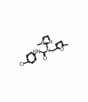 Cc1ccc(CN(C(=O)Nc2ccc(Cl)cc2)c2nccn2C)o1